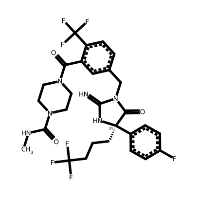 CNC(=O)N1CCN(C(=O)c2cc(CN3C(=N)N[C@](CCCC(F)(F)F)(c4ccc(F)cc4)C3=O)ccc2C(F)(F)F)CC1